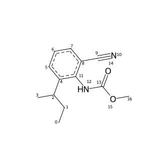 CCC(C)c1cccc(C#N)c1NC(=O)OC